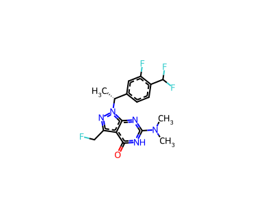 C[C@H](c1ccc(C(F)F)c(F)c1)n1nc(CF)c2c(=O)[nH]c(N(C)C)nc21